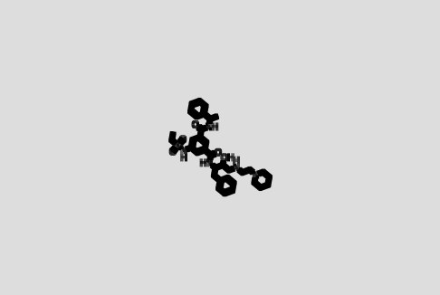 CCS(=O)(=O)Nc1cc(C(=O)NC(C)c2ccccc2)cc(C(=O)NC(Cc2ccccc2)C(O)CNCCN2CCCCC2)c1